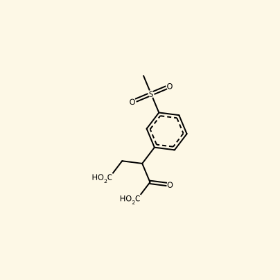 CS(=O)(=O)c1cccc(C(CC(=O)O)C(=O)C(=O)O)c1